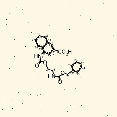 O=C(NCCOC(=O)Nc1cc(C(=O)O)nc2ccccc12)OCc1ccccc1